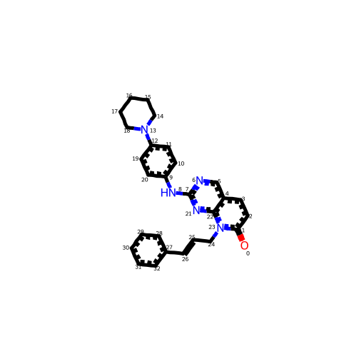 O=c1ccc2cnc(Nc3ccc(N4CCCCC4)cc3)nc2n1CC=Cc1ccccc1